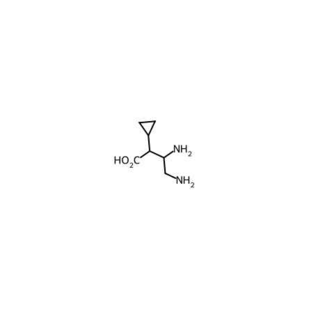 NCC(N)C(C(=O)O)C1CC1